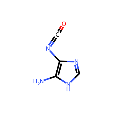 Nc1[nH]cnc1N=C=O